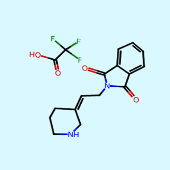 O=C(O)C(F)(F)F.O=C1c2ccccc2C(=O)N1CC=C1CCCNC1